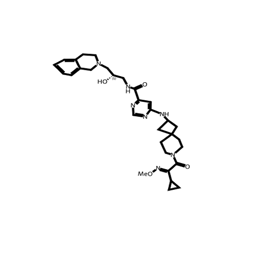 CON=C(C(=O)N1CCC2(CC1)CC(Nc1cc(C(=O)NC[C@H](O)CN3CCc4ccccc4C3)ncn1)C2)C1CC1